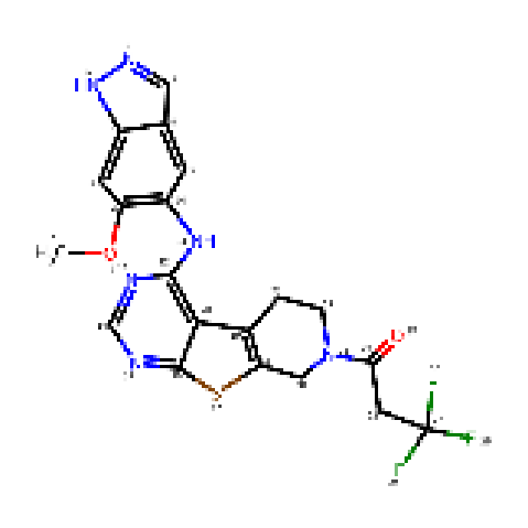 COc1cc2[nH]ncc2cc1Nc1ncnc2sc3c(c12)CCN(C(=O)CC(F)(F)F)C3